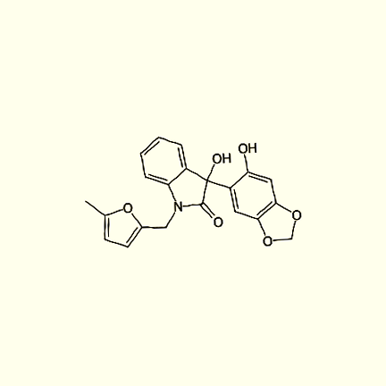 Cc1ccc(CN2C(=O)C(O)(c3cc4c(cc3O)OCO4)c3ccccc32)o1